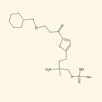 CC(N)(CCc1ccc(C(=O)CCOCC2CCCCC2)s1)COP(=O)(O)O